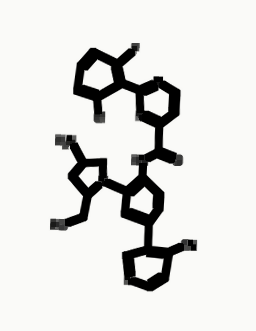 N#Cc1ccncc1-c1ccc(NC(=O)c2ccnc(-c3c(F)cccc3Cl)n2)c(N2CC(N)CC2CO)c1